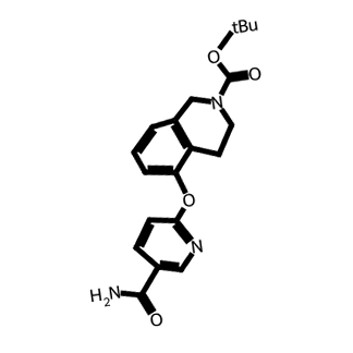 CC(C)(C)OC(=O)N1CCc2c(cccc2Oc2ccc(C(N)=O)cn2)C1